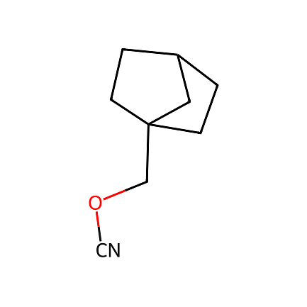 N#COCC12CCC(CC1)C2